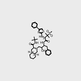 CC(C)(C)NC(=O)C1C[C@@H]2CCCC[C@@H]2CN1CC(O)C(Cc1ccccc1)NC(=O)[C@@H](Nc1nc(-c2ccccc2)cs1)C(C)(C)S(C)(=O)=O